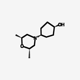 C[C@@H]1CN([C@H]2CC[C@@H](O)CC2)C[C@H](C)O1